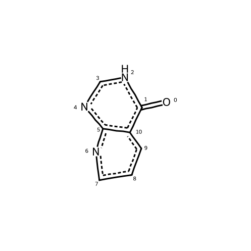 O=c1[nH]cnc2ncccc12